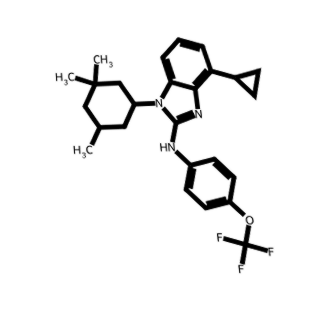 CC1CC(n2c(Nc3ccc(OC(F)(F)F)cc3)nc3c(C4CC4)cccc32)CC(C)(C)C1